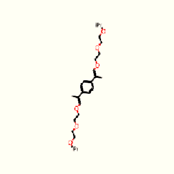 CC(=COCCOCCOC(C)C)c1ccc(C(C)=COCCOCCOC(C)C)cc1